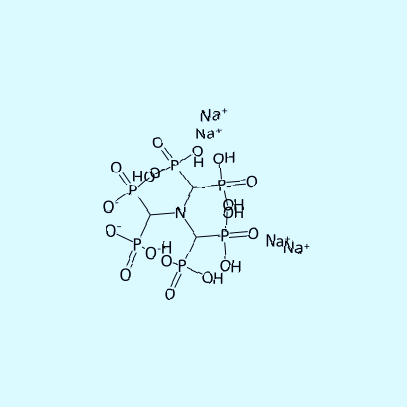 O=P([O-])([O-])C(N(C(P(=O)(O)O)P(=O)(O)O)C(P(=O)(O)O)P(=O)(O)O)P(=O)([O-])[O-].[Na+].[Na+].[Na+].[Na+]